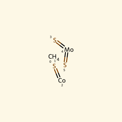 C.[S]=[Co].[S]=[Mo]=[S]